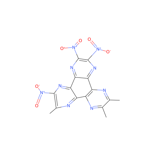 Cc1nc2c(nc1C)c1nc([N+](=O)[O-])c([N+](=O)[O-])nc1c1nc([N+](=O)[O-])c(C)nc21